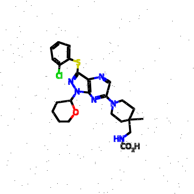 CC1(CNC(=O)O)CCN(c2cnc3c(Sc4ccccc4Cl)nn(C4CCCCO4)c3n2)CC1